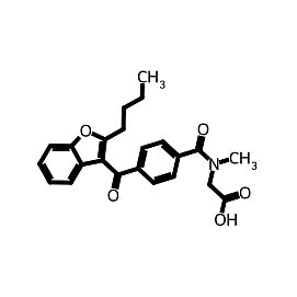 CCCCc1oc2ccccc2c1C(=O)c1ccc(C(=O)N(C)CC(=O)O)cc1